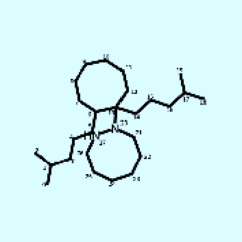 CC(C)CCCC1CCCCCCC1(CCCC(C)C)N1CCCCCCN1